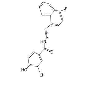 O=C(N/N=C/c1ccc(F)c2ccccc12)c1ccc(O)c(Cl)c1